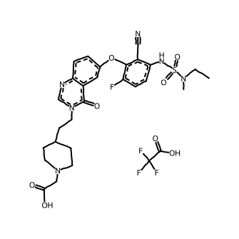 CCN(C)S(=O)(=O)Nc1ccc(F)c(Oc2ccc3ncn(CCC4CCN(CC(=O)O)CC4)c(=O)c3c2)c1C#N.O=C(O)C(F)(F)F